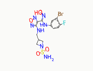 NS(=O)(=O)N1CC(CNc2nonc2C(=NO)Nc2ccc(F)c(Br)c2)C1